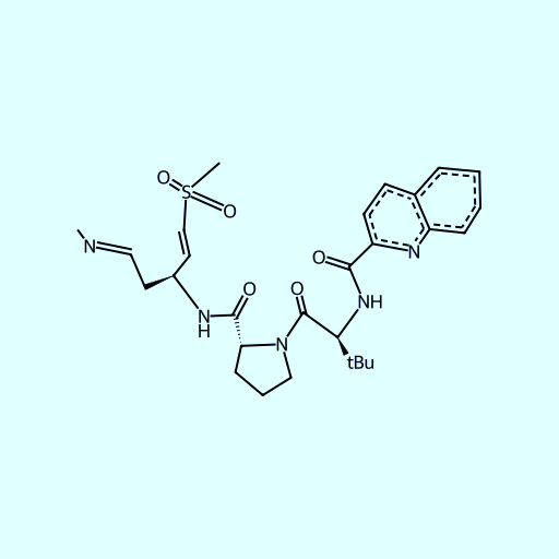 C/N=C/C[C@@H](/C=C/S(C)(=O)=O)NC(=O)[C@H]1CCCN1C(=O)[C@@H](NC(=O)c1ccc2ccccc2n1)C(C)(C)C